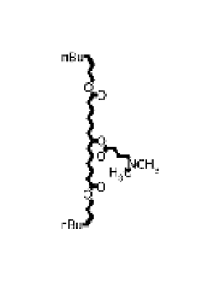 CCCC/C=C\CCOC(=O)CCCCCC(CCCCCC(=O)OCC/C=C\CCCC)OC(=O)CCCN(C)C